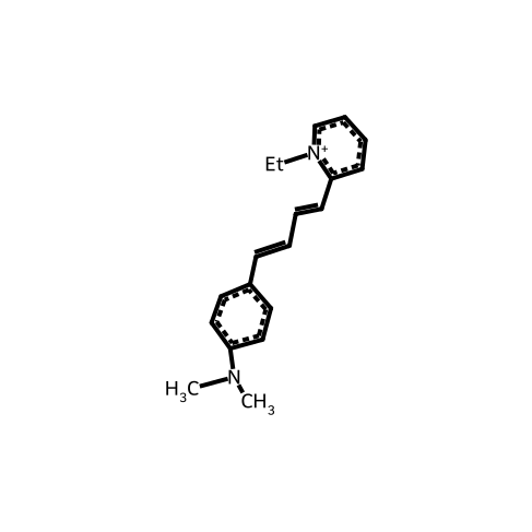 CC[n+]1ccccc1/C=C/C=C/c1ccc(N(C)C)cc1